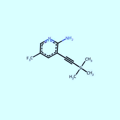 C[Si](C)(C)C#Cc1cc(C(F)(F)F)cnc1N